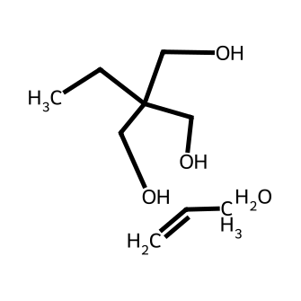 C=CC.CCC(CO)(CO)CO.O